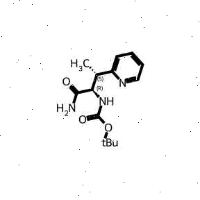 C[C@H](c1ccccn1)[C@@H](NC(=O)OC(C)(C)C)C(N)=O